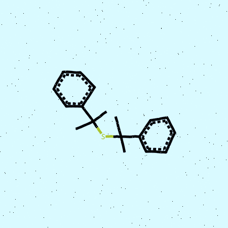 CC(C)(SC(C)(C)c1ccccc1)c1ccccc1